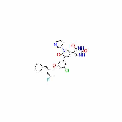 C/C(F)=C\C(=C/C1CCCCC1)COc1cc(Cl)cc(-c2cc(-c3c[nH]c(=O)[nH]c3=O)cn(-c3cccnc3)c2=O)c1